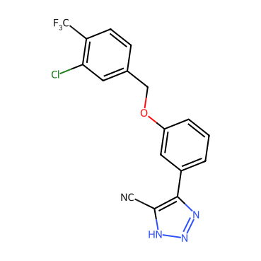 N#Cc1[nH]nnc1-c1cccc(OCc2ccc(C(F)(F)F)c(Cl)c2)c1